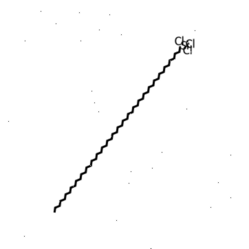 CCCCCCCCCCCCCCCCCCCCCCCCCCCCCCCCCCCCCCCCCCCCCCCCCC[Si](Cl)(Cl)Cl